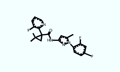 Cc1cc(NC(=O)C2(c3ncccc3F)CC2(C)C)nn1-c1ccc(F)cc1F